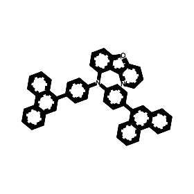 c1ccc2c(c1)cc(-c1ccc(N(c3ccc(-c4cc5ccccc5c5ccccc45)cc3)c3cccc4oc5cccnc5c34)cc1)c1ccccc12